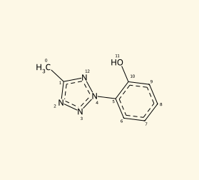 Cc1nnn(-c2ccccc2O)n1